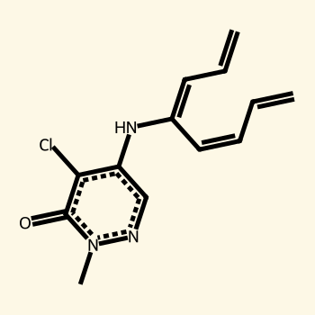 C=C/C=C\C(=C/C=C)Nc1cnn(C)c(=O)c1Cl